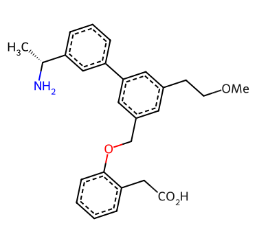 COCCc1cc(COc2ccccc2CC(=O)O)cc(-c2cccc([C@@H](C)N)c2)c1